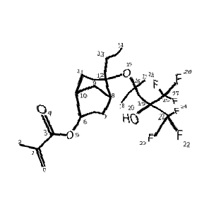 C=C(C)C(=O)OC1CC2CC1CC2(CC)OC(C)(C)C(O)(C(F)(F)F)C(F)(F)F